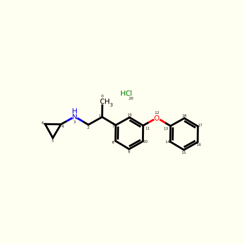 CC(CNC1CC1)c1cccc(Oc2ccccc2)c1.Cl